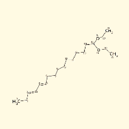 CC/C=C/C=C/CCCCCCCCCC(OCC)OCC